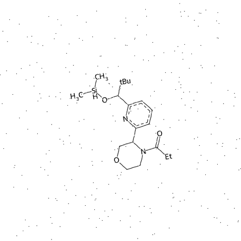 CCC(=O)N1CCOCC1c1cccc(C(O[SiH](C)C)C(C)(C)C)n1